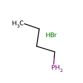 Br.CCCCP